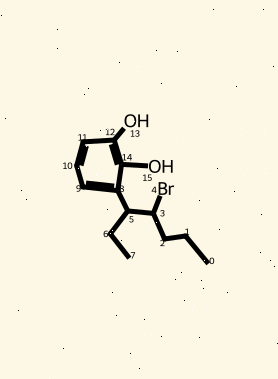 CCCC(Br)C(CC)c1cccc(O)c1O